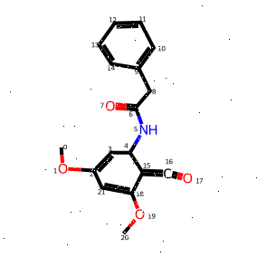 COC1=CC(NC(=O)Cc2ccccc2)C(=C=O)C(OC)=C1